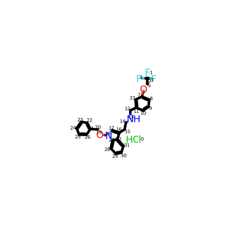 Cl.FC(F)(F)COc1cccc(CNCCc2cn(OCc3ccccc3)c3ccccc23)c1